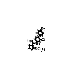 CCc1ccc(-c2ccc(NC(=N)C3=C(C(=O)O)CCC3)cc2Cl)cc1